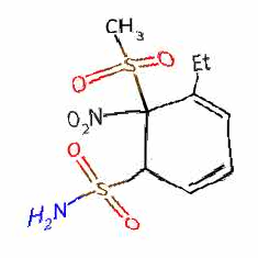 CCC1=CC=CC(S(N)(=O)=O)C1([N+](=O)[O-])S(C)(=O)=O